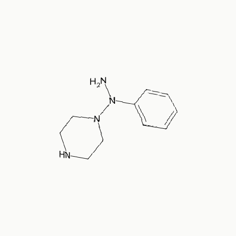 NN(c1ccccc1)N1CCNCC1